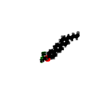 CCCCCC1CCC(C2CCC(c3ccc(OC(F)F)cc3)CC2)CC1